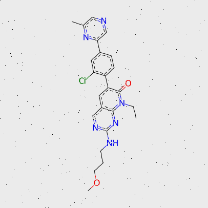 CCn1c(=O)c(-c2ccc(-c3cncc(C)n3)cc2Cl)cc2cnc(NCCCOC)nc21